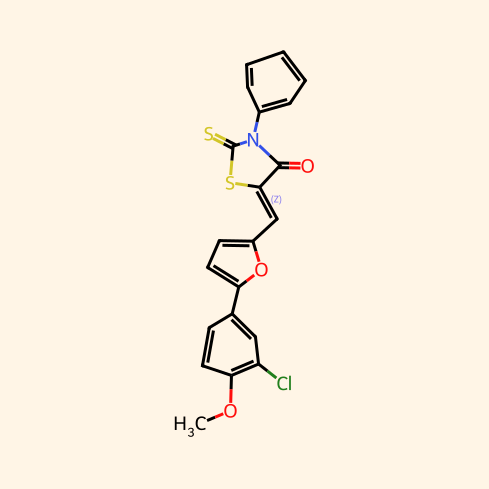 COc1ccc(-c2ccc(/C=C3\SC(=S)N(c4ccccc4)C3=O)o2)cc1Cl